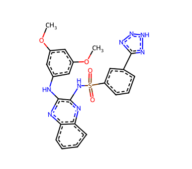 COc1cc(Nc2nc3ccccc3nc2NS(=O)(=O)c2cccc(-c3nn[nH]n3)c2)cc(OC)c1